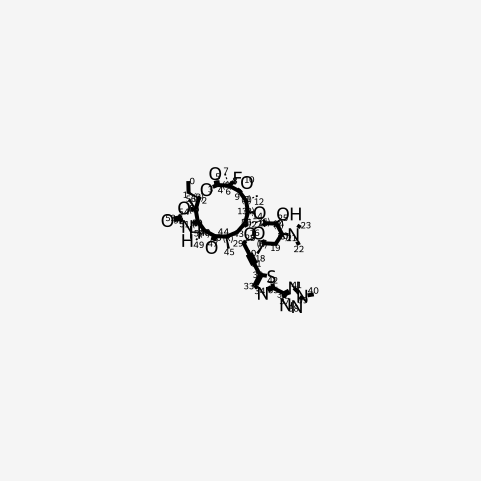 CC[C@H]1OC(=O)[C@@](C)(F)C(=O)[C@H](C)[C@@H](O[C@@H]2O[C@H](C)C[C@H](N(C)C)[C@H]2O)[C@@](C)(OCC#Cc2cnc(-c3nnn(C)n3)s2)C[C@@H](C)C(=O)[C@H](C)[C@H]2NC(=O)O[C@@]21C